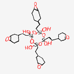 O[Si]1(CCC2CCC3OC3C2)O[Si](O)(CCC2CCC3OC3C2)O[Si](O)(CCC2CCC3OC3C2)O[Si](O)(CCC2CCC3OC3C2)O1